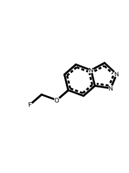 FCOc1ccn2cnnc2c1